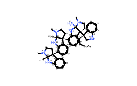 CNCC[C@]1([C@]23CCN(C)[C@@]2(N)Nc2c([C@]45CCN(C)[C@H]4Nc4c([C@]67CCN(C)[C@H]6Nc6ccccc67)cccc45)cccc23)CNc2ccccc21